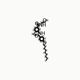 CCCCCCCCCOc1ccc(C(=O)Nc2cc(C(=O)NCCOC)ccc2SC)cc1